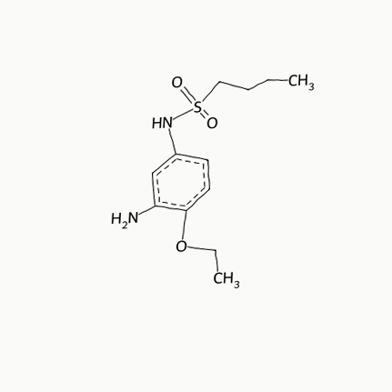 CCCCS(=O)(=O)Nc1ccc(OCC)c(N)c1